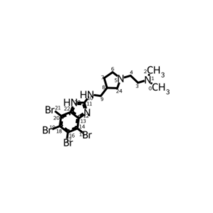 CN(C)CCN1CCC(CNc2nc3c(Br)c(Br)c(Br)c(Br)c3[nH]2)C1